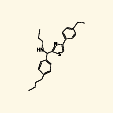 CCCCc1ccc(C(NCCC)c2nc(-c3ccc(CC)cc3)cs2)cc1